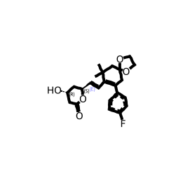 CC1(C)CC2(CC(c3ccc(F)cc3)=C1/C=C/[C@@H]1C[C@@H](O)CC(=O)O1)OCCO2